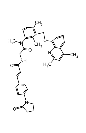 Cc1cc(C)c2cccc(OCc3c(C)ccc(N(C)C(=O)CNC(=O)/C=C/c4ccc(N5CCCC5=O)cc4)c3C)c2n1